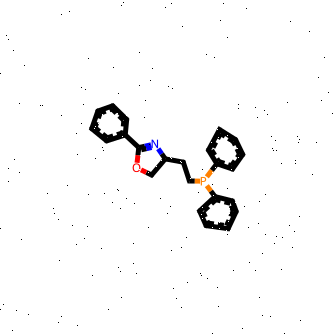 c1ccc(C2=NC(CCP(c3ccccc3)c3ccccc3)CO2)cc1